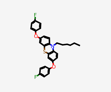 CCCCCCN1c2ccc(Oc3ccc(F)cc3)cc2Sc2cc(Oc3ccc(F)cc3)ccc21